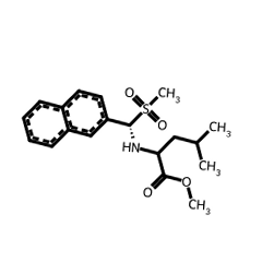 COC(=O)C(CC(C)C)N[C@H](c1ccc2ccccc2c1)S(C)(=O)=O